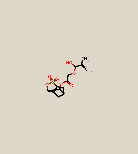 C=C(C)C(O)OCC(=O)OC1C2CC3C1OS(=O)(=O)C3C2